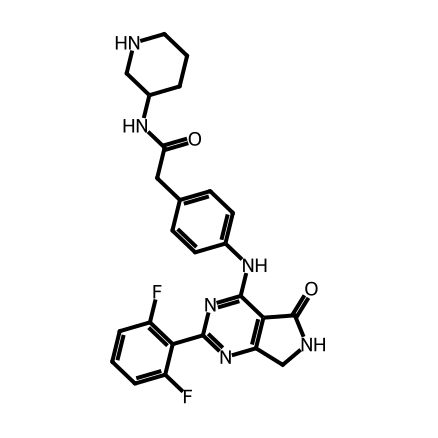 O=C(Cc1ccc(Nc2nc(-c3c(F)cccc3F)nc3c2C(=O)NC3)cc1)NC1CCCNC1